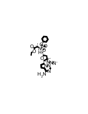 CCOC(=O)[C@H](C)NP(=O)(OC[C@@H]1C[C@@](C)(N=[N+]=[N-])[C@H](c2ccc3c(N)ncnn23)O1)Oc1ccccc1